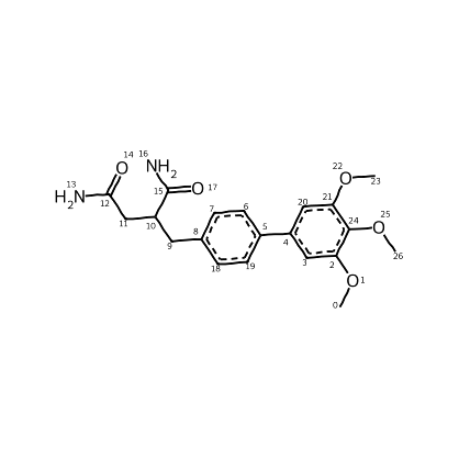 COc1cc(-c2ccc(CC(CC(N)=O)C(N)=O)cc2)cc(OC)c1OC